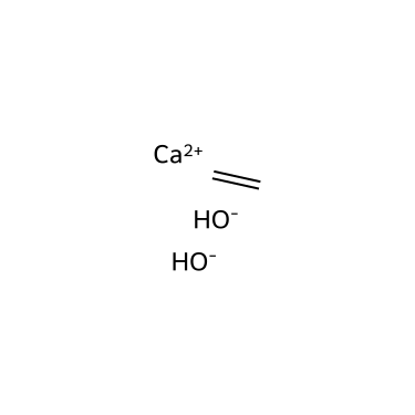 C=C.[Ca+2].[OH-].[OH-]